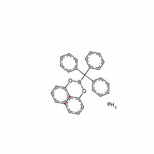 P.c1ccc(OB(Oc2ccccc2)C(c2ccccc2)(c2ccccc2)c2ccccc2)cc1